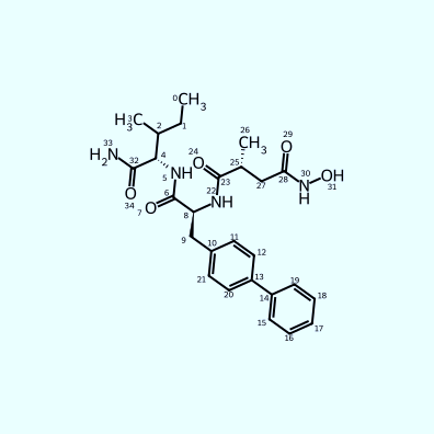 CCC(C)[C@H](NC(=O)[C@H](Cc1ccc(-c2ccccc2)cc1)NC(=O)[C@H](C)CC(=O)NO)C(N)=O